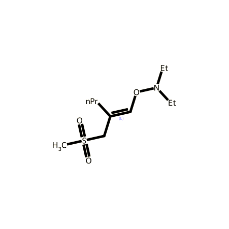 CCC/C(=C\ON(CC)CC)CS(C)(=O)=O